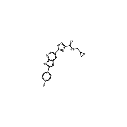 O=C(NCC1CC1)c1nc(-c2cnc3[nH]c(-c4ccc(F)cc4)cc3c2)cs1